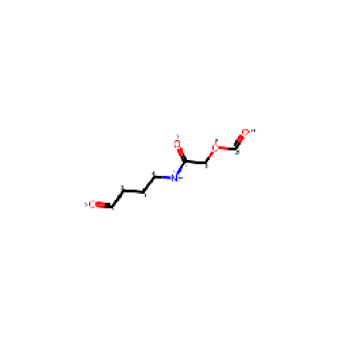 O=CCCCNC(=O)COC=O